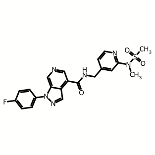 CN(c1cc(CNC(=O)c2cncc3c2cnn3-c2ccc(F)cc2)ccn1)S(C)(=O)=O